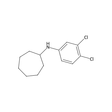 Clc1ccc(NC2CCCCCC2)cc1Cl